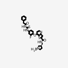 BN1CC[C@H](CNC(=O)c2cc3nccc(Oc4ccc(NC(=S)NC(=O)Cc5ccccc5)cc4F)c3s2)C1